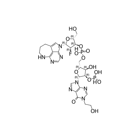 O=c1c2ncn([C@@H]3O[C@H](COP(=O)(O)O[C@H]4[C@@H](F)[C@H](n5cc6c7c(ncnc75)NCCC6)O[C@@H]4CO)[C@@H](O)[C@H]3O[PH](=O)O)c2ncn1CCO